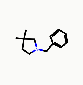 CC1(C)C[CH]N(Cc2ccccc2)C1